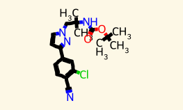 CC(C)(Cn1ccc(-c2ccc(C#N)c(Cl)c2)n1)NC(=O)OC(C)(C)C